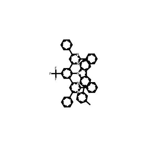 Cc1cccc(-c2ccc3c4ccccc4n(-c4c(-c5cc(-c6ccccc6)nc(-c6ccccc6)n5)cc(C(F)(F)F)cc4-c4cc(-c5ccccc5)nc(-c5ccccc5)n4)c3c2)c1